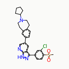 CS(=O)(=O)c1ccc(-c2n[nH]c3ncc(-c4ccc5c(c4)CCN(C4CCCC4)CC5)cc23)cc1Cl